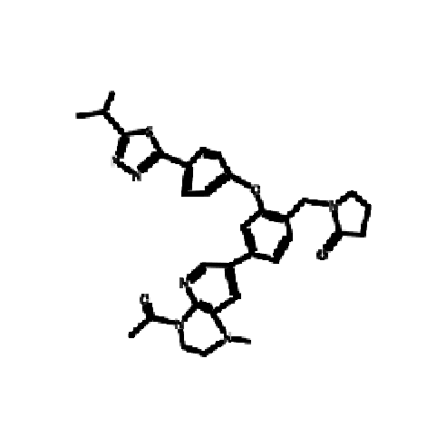 CC(=O)N1CCN(C)c2cc(-c3ccc(CN4CCCC4=O)c(Oc4ccc(-c5nnc(C(C)C)s5)cc4)c3)cnc21